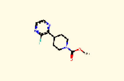 CC(C)(C)OC(=O)N1CCC(c2nccnc2F)CC1